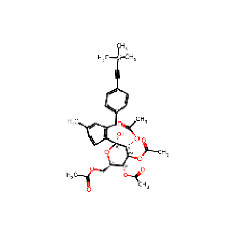 CC(=O)OC[C@H]1O[C@@](O)(c2ccc(C)cc2Cc2ccc(C#C[Si](C)(C)C)cc2)[C@H](OC(C)=O)[C@@H](OC(C)=O)[C@@H]1OC(C)=O